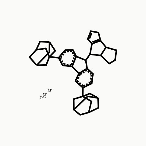 C1=CC2=C(C1)C1CCCC1C2C1c2ccc(C34CC5CC(CC(C5)C3)C4)cc2-c2cc(C34CC5CC(CC(C5)C3)C4)ccc21.[Cl-].[Cl-].[Zr+2]